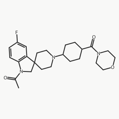 CC(=O)N1CC2(CCN(C3CCC(C(=O)N4CCOCC4)CC3)CC2)c2cc(F)ccc21